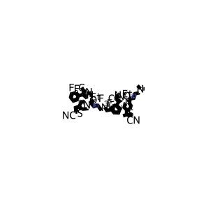 CCn1cc(-c2c(F)cccc2[C@@H]2CN(C(=O)/C=C/CNCc3ccc([C@@H]4CN(C(=O)/C=C/CN(C)C)Cc5sc(C#N)c(C)c54)c(-c4cn(CC)nc4C(F)(F)F)c3F)Cc3sc(C#N)cc32)c(C(F)(F)F)n1